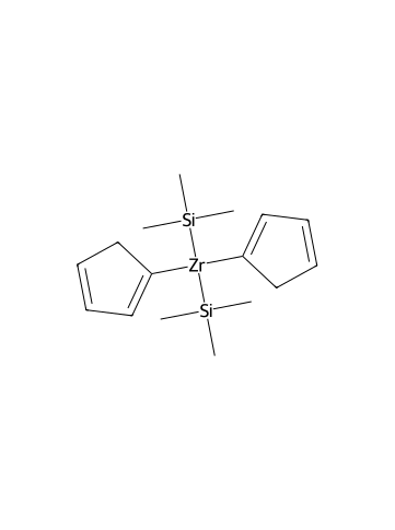 C[Si](C)(C)[Zr]([C]1=CC=CC1)([C]1=CC=CC1)[Si](C)(C)C